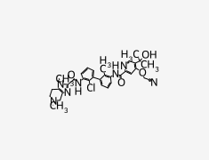 Cc1c(NC(=O)c2cc(OCC#N)c(C(C)(C)O)cn2)cccc1-c1cccc(NC(=O)c2nc3c(n2C)CCN(C)C3)c1Cl